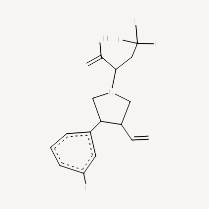 O=CC1CN(C(CC(F)(F)F)C(=O)O)CC1c1cccc(F)c1